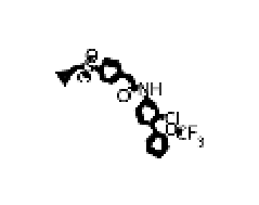 O=C(Cc1ccc(S(=O)(=O)CC2CC2)cc1)Nc1ccc(-c2ccccc2OC(F)(F)F)c(Cl)c1